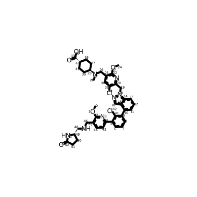 COc1nc(-c2cccc(-c3cccc4c3cnn4Cc3nc(OC)c(CN(C)[C@H]4CC[C@H](C(=O)O)CC4)cc3Cl)c2Cl)ccc1CNC[C@@H]1CCC(=O)N1